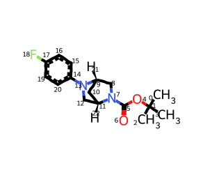 CC(C)(C)OC(=O)N1C[C@@H]2C[C@H]1CN2c1ccc(F)cc1